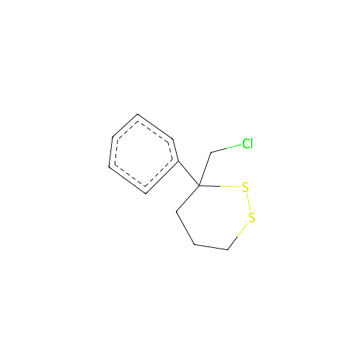 ClCC1(c2ccccc2)CCCSS1